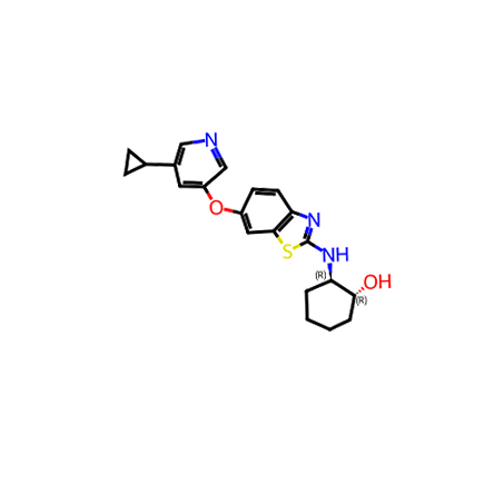 O[C@@H]1CCCC[C@H]1Nc1nc2ccc(Oc3cncc(C4CC4)c3)cc2s1